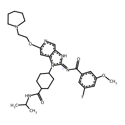 COc1cc(F)cc(C(=O)/N=c2\[nH]c3cnc(OCCN4CCCCC4)cc3n2C2CCC(C(=O)NC(C)C)CC2)c1